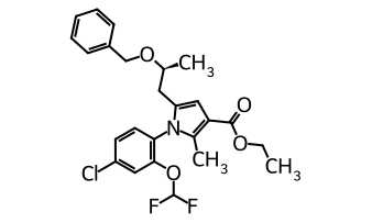 CCOC(=O)c1cc(C[C@H](C)OCc2ccccc2)n(-c2ccc(Cl)cc2OC(F)F)c1C